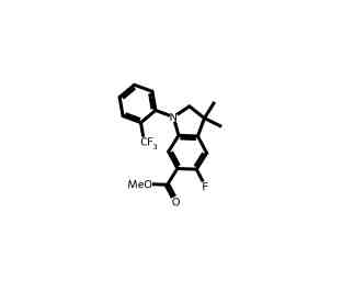 COC(=O)c1cc2c(cc1F)C(C)(C)CN2c1ccccc1C(F)(F)F